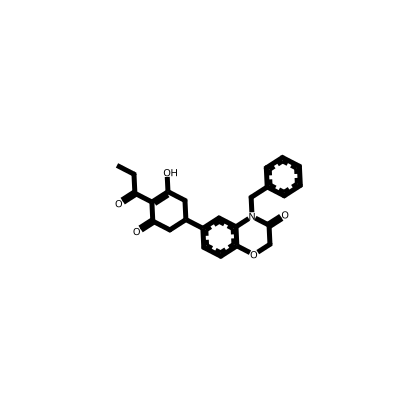 CCC(=O)C1=C(O)CC(c2ccc3c(c2)N(Cc2ccccc2)C(=O)CO3)CC1=O